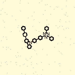 C1=CC(c2ccc3c4ccccc4n(-c4ccc(-c5ccc(-c6nc(-c7ccccc7)nc(-c7ccccc7)n6)cc5)cc4)c3c2)CC=C1c1ccccc1